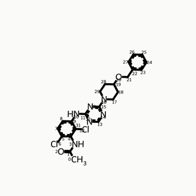 CC(=O)Nc1c(Cl)ccc(Nc2ncnc(N3CCC(OCc4ccccc4)CC3)n2)c1Cl